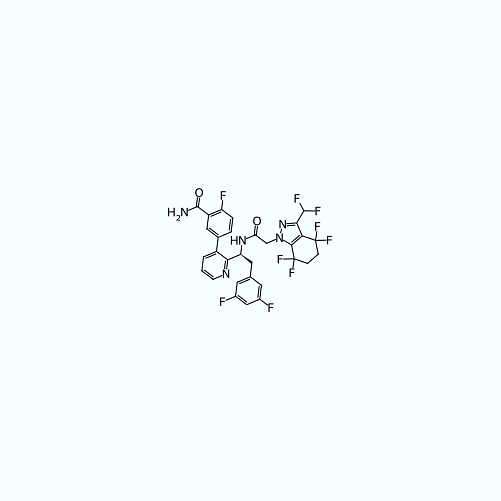 NC(=O)c1cc(-c2cccnc2[C@H](Cc2cc(F)cc(F)c2)NC(=O)Cn2nc(C(F)F)c3c2C(F)(F)CCC3(F)F)ccc1F